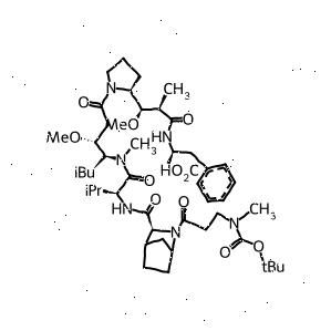 CC[C@H](C)[C@@H]([C@@H](CC(=O)N1CCC[C@H]1[C@H](OC)[C@@H](C)C(=O)N[C@@H](Cc1ccccc1)C(=O)O)OC)N(C)C(=O)[C@@H](NC(=O)[C@@H]1C2CCC(C2)N1C(=O)CCN(C)C(=O)OC(C)(C)C)C(C)C